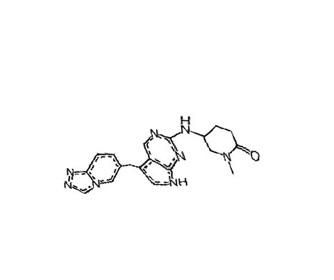 CN1CC(Nc2ncc3c(-c4ccc5nncn5c4)c[nH]c3n2)CCC1=O